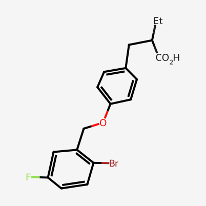 CCC(Cc1ccc(OCc2cc(F)ccc2Br)cc1)C(=O)O